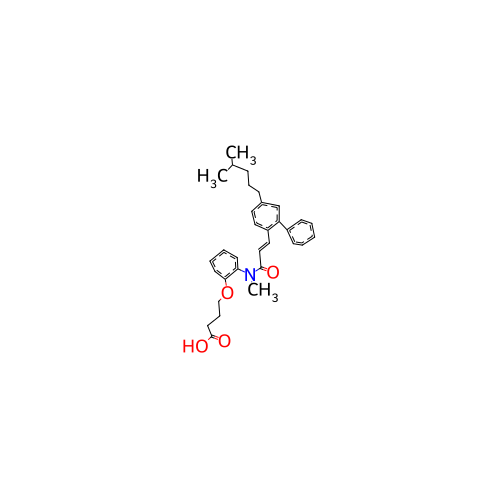 CC(C)CCCc1ccc(/C=C/C(=O)N(C)c2ccccc2OCCCC(=O)O)c(-c2ccccc2)c1